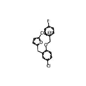 CCOC(=O)c1ccc(Cc2cc(Cl)ccc2OCc2ccc(F)cc2)o1